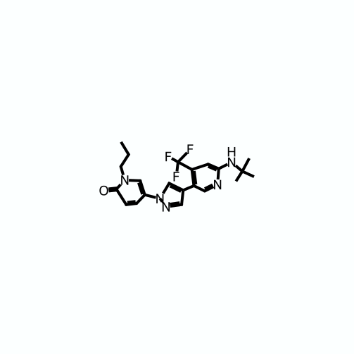 CCCn1cc(-n2cc(-c3cnc(NC(C)(C)C)cc3C(F)(F)F)cn2)ccc1=O